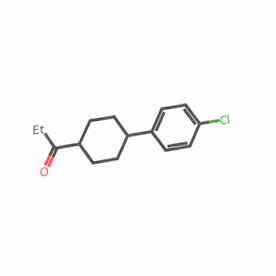 CCC(=O)C1CCC(c2ccc(Cl)cc2)CC1